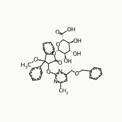 COC(c1ccccc1)(c1ccccc1)C(Oc1nc(C)cc(COCc2ccccc2)n1)C(=O)O[C@@H]1O[C@H](C(=O)O)[C@@H](O)[C@H](O)[C@H]1O